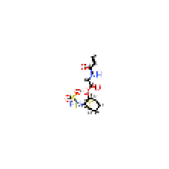 C=CC(=O)NCC(=O)OC1C2CCC(S2)C1N[SH](=O)=O